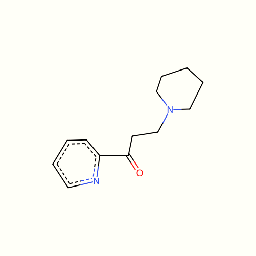 O=C(CCN1CCCCC1)c1ccccn1